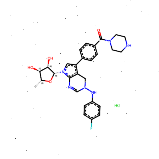 C[C@H]1O[C@@H](n2cc(-c3ccc(C(=O)N4CCNCC4)cc3)c3c2N=CN(Nc2ccc(F)cc2)C3)[C@H](O)[C@@H]1O.Cl